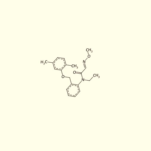 CCN(C(=O)C=NOC)c1ccccc1COc1cc(C)ccc1C